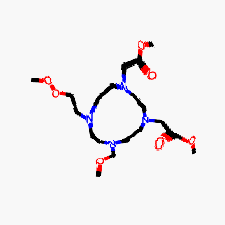 COCN1CCN(CCOOC)CCN(CC(=O)OC)CCN(CC(=O)OC)CC1